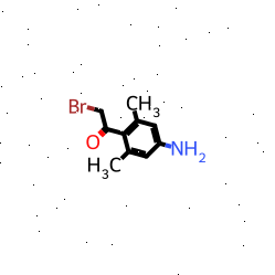 Cc1cc(N)cc(C)c1C(=O)CBr